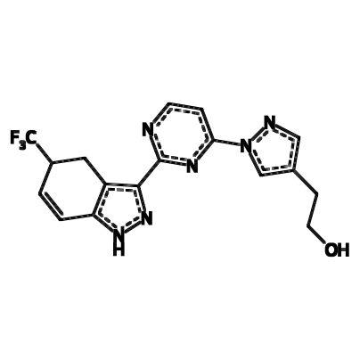 OCCc1cnn(-c2ccnc(-c3n[nH]c4c3CC(C(F)(F)F)C=C4)n2)c1